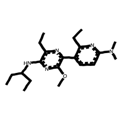 CCc1nc(N(C)C)ccc1-c1nc(CC)c(NC(CC)CC)nc1OC